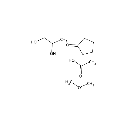 CC(=O)O.CC(O)CO.COC.O=C1CCCC1